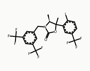 C[C@@H]1N(Cc2cc(C(F)(F)F)cc(C(F)(F)F)c2)C(=O)OC1(C)c1cc(C(F)(F)F)ccc1I